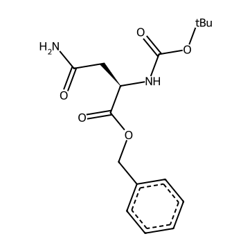 CC(C)(C)OC(=O)N[C@H](CC(N)=O)C(=O)OCc1ccccc1